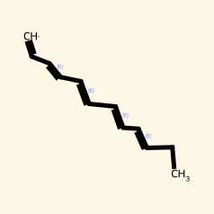 [CH]=C/C=C/C=C/C=C/C=C/CC